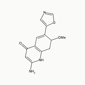 COC1Cc2[nH]c(N)cc(=O)c2C=C1c1cnco1